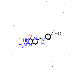 Nc1nc2ccc(CNc3ccc(C=O)cc3)nc2c(=O)[nH]1